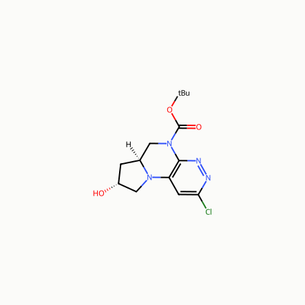 CC(C)(C)OC(=O)N1C[C@@H]2C[C@@H](O)CN2c2cc(Cl)nnc21